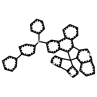 c1ccc(-c2ccc(N(c3ccccc3)c3ccc4c5c(c6ccccc6c4c3)-c3ccc4ccccc4c3C53c4ccccc4-c4ccccc43)cc2)cc1